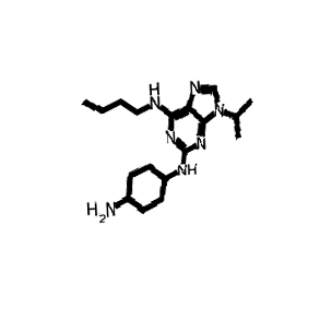 CCCCNc1nc(NC2CCC(N)CC2)nc2c1ncn2C(C)C